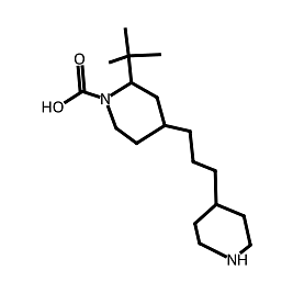 CC(C)(C)C1CC(CCCC2CCNCC2)CCN1C(=O)O